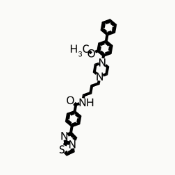 COc1cc(-c2ccccc2)ccc1N1CCN(CCCCNC(=O)c2ccc(-c3cn4ccsc4n3)cc2)CC1